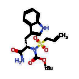 C=CCS(=O)(=O)N(C(=O)OC(C)(C)C)[C@@H](Cc1c[nH]c2ccccc12)C(N)=O